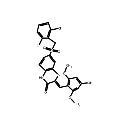 COc1cc(O)cc(OC)c1C=C1Sc2cc(S(=O)(=O)Cc3c(Cl)cccc3Cl)ccc2NC1=O